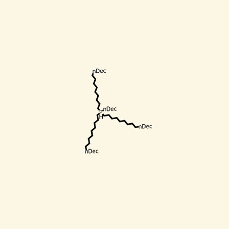 CCCCCCCCCCCCCCCCCCC[PH](CCCCCCCCCC)(CCCCCCCCCCCCCCCCCCC)CCCCCCCCCCCCCCCCCCC